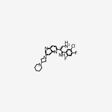 N=C(/C(=C\N)c1ccc2ncc(N3CC(N4CCCCC4)C3)cc2n1)c1cc(Cl)c(F)cc1F